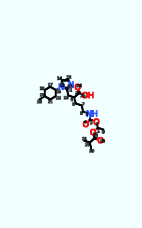 CC(OC(=O)NCCC[C@@H](Cc1nccn1[C@H]1CC[C@H](C)CC1)C(=O)O)OC(=O)C(C)C